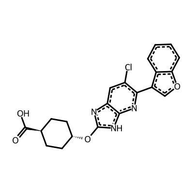 O=C(O)[C@H]1CC[C@H](Oc2nc3cc(Cl)c(-c4coc5ccccc45)nc3[nH]2)CC1